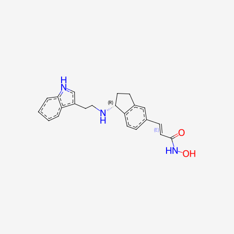 O=C(/C=C/c1ccc2c(c1)CC[C@H]2NCCc1c[nH]c2ccccc12)NO